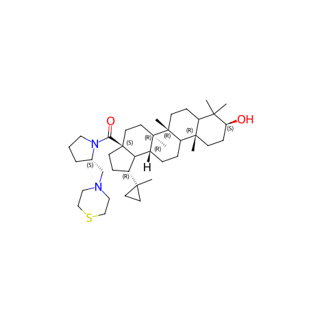 CC1([C@@H]2CC[C@]3(C(=O)N4CCC[C@H]4CN4CCSCC4)CC[C@]4(C)[C@H](CCC5[C@@]6(C)CC[C@H](O)C(C)(C)C6CC[C@]54C)C23)CC1